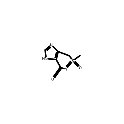 CS1(=O)=NC(=O)c2[nH]cnc2C1